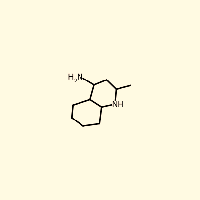 CC1CC(N)C2CCCCC2N1